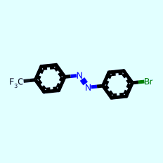 FC(F)(F)c1ccc(/N=N/c2ccc(Br)cc2)cc1